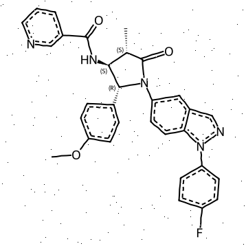 COc1ccc([C@@H]2[C@@H](NC(=O)c3cccnc3)[C@H](C)C(=O)N2c2ccc3c(cnn3-c3ccc(F)cc3)c2)cc1